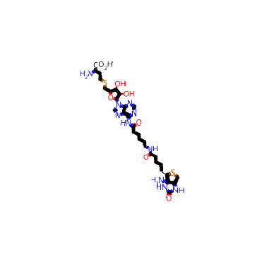 NC(CCSCC1OC(n2cnc3c(NC(=O)CCCCCNC(=O)CCCC[C@@H]4SCC5NC(=O)NC54N)ncnc32)[C@H](O)[C@@H]1O)C(=O)O